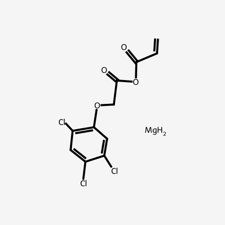 C=CC(=O)OC(=O)COc1cc(Cl)c(Cl)cc1Cl.[MgH2]